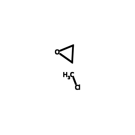 C1CO1.CCl